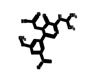 COc1cc(-c2cnc(NC(C)C)c(=O)n2CC(=O)O)cc([N+](=O)[O-])c1